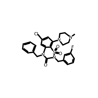 CN1CCN(c2cc(Cl)cc3c2S(=O)(=O)N(Cc2cccc(F)c2)C(=O)N3Cc2ccccc2)CC1